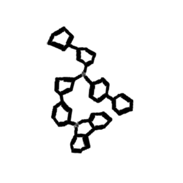 c1ccc(-c2ccc(N(c3cccc(-c4ccccc4)c3)c3cccc(-c4cccc(-n5c6ccccc6c6ccccc65)c4)c3)cc2)cc1